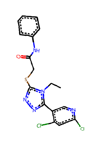 CCn1c(SCC(=O)Nc2ccccc2)nnc1-c1cnc(Cl)cc1Cl